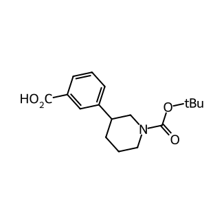 CC(C)(C)OC(=O)N1CCCC(c2cccc(C(=O)O)c2)C1